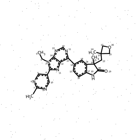 CCn1c(-c2cnc(C)nc2)nc2c(-c3ccc4c(c3)C(C)(CC3(C)COC3)C(=O)N4)ncnc21